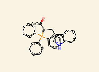 COC(=O)C(Cc1c[nH]c2ccccc12)=P(c1ccccc1)(c1ccccc1)c1ccccc1